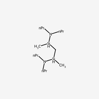 CCCN(CCC)[SiH](C)C[SiH](C)N(CCC)CCC